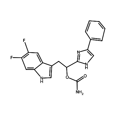 NC(=O)OC(Cc1c[nH]c2cc(F)c(F)cc12)c1nc(-c2ccccc2)c[nH]1